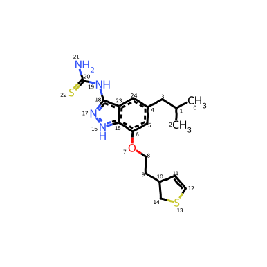 CC(C)Cc1cc(OCCC2C=CSC2)c2[nH]nc(NC(N)=S)c2c1